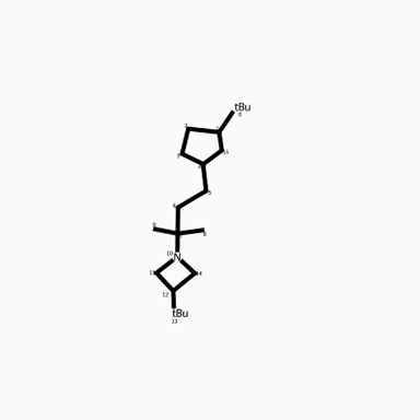 CC(C)(C)C1CCC(CCC(C)(C)N2CC(C(C)(C)C)C2)C1